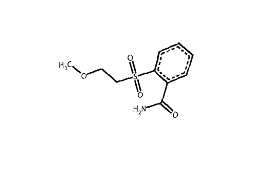 COCCS(=O)(=O)c1ccccc1C(N)=O